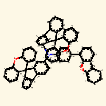 c1ccc2c(c1)Oc1ccccc1C21c2ccccc2-c2ccc(N(c3ccc(-c4cccc5c4oc4ccccc45)cc3)c3cccc4c3C3(c5ccccc5Oc5ccccc53)c3ccccc3-4)cc21